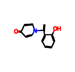 C=C(c1ccccc1O)n1ccc(=O)cc1